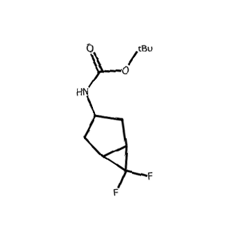 CC(C)(C)OC(=O)NC1CC2C(C1)C2(F)F